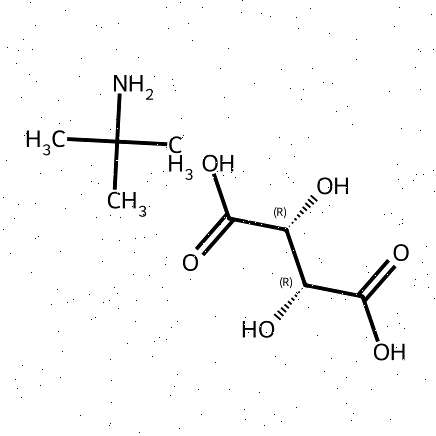 CC(C)(C)N.O=C(O)[C@H](O)[C@@H](O)C(=O)O